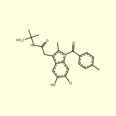 Cc1ccc(C(=O)n2c(C)c(CC(=O)NC(C)(C)C(=O)O)c3cc(O)c(Cl)cc32)cc1